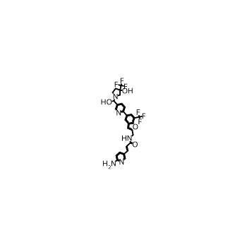 Nc1ccc(/C=C/C(=O)NCc2cc3cc(-c4ccc(C(O)N5CCC(O)(C(F)(F)F)C5)cn4)cc(C(F)(F)F)c3o2)cn1